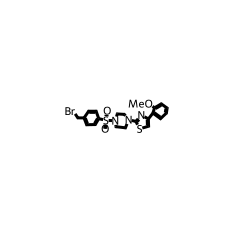 COc1ccccc1-c1csc(N2CCN(S(=O)(=O)c3ccc(CBr)cc3)CC2)n1